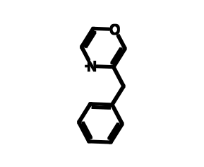 C1=COC=C(Cc2ccccc2)[N]1